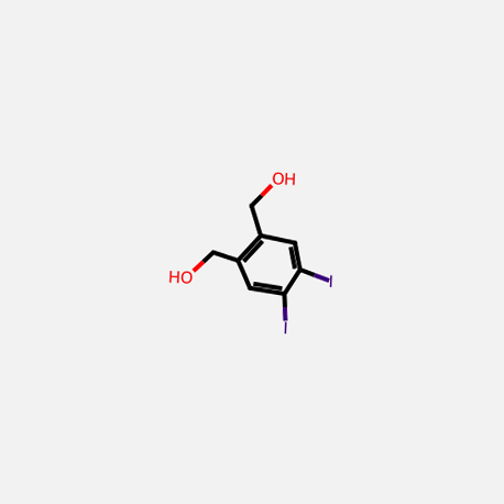 OCc1cc(I)c(I)cc1CO